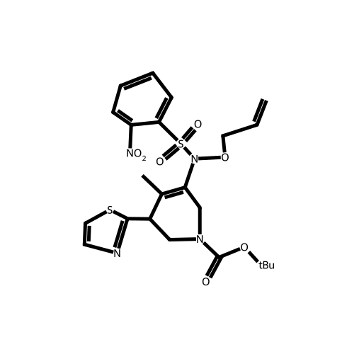 C=CCON(C1=C(C)C(c2nccs2)CN(C(=O)OC(C)(C)C)C1)S(=O)(=O)c1ccccc1[N+](=O)[O-]